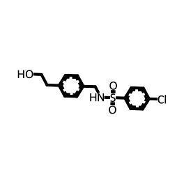 O=S(=O)(NCc1ccc(CCO)cc1)c1ccc(Cl)cc1